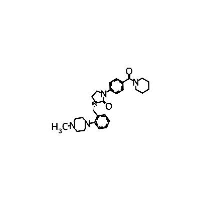 CN1CCN(c2ccccc2C[C@@H]2CCN(c3ccc(C(=O)N4CCCCC4)cc3)C2=O)CC1